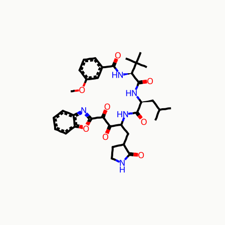 COc1cccc(C(=O)N[C@H](C(=O)N[C@@H](CC(C)C)C(=O)NC(CC2CCNC2=O)C(=O)C(=O)c2nc3ccccc3o2)C(C)(C)C)c1